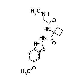 CNCC(=O)NC1(C(=O)Nc2nc3ccc(OC)cc3s2)CCC1